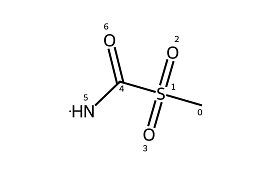 CS(=O)(=O)C([NH])=O